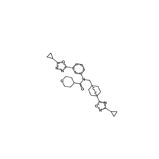 O=C(C1CCOCC1)N(CC12CCC(c3nc(C4CC4)no3)(CC1)CC2)c1cccc(-c2nnc(C3CC3)o2)c1